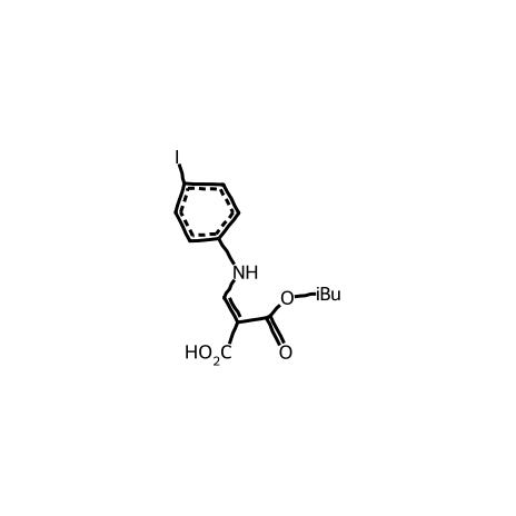 CCC(C)OC(=O)C(=CNc1ccc(I)cc1)C(=O)O